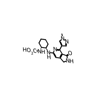 Cn1cc(-c2nc(N[C@@H]3CCCC[C@H]3NC(=O)O)cc3c2C(=O)NC3)cn1